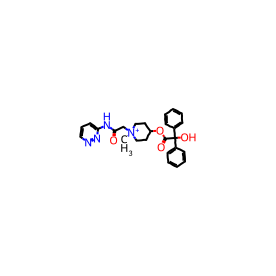 C[N+]1(CC(=O)Nc2cccnn2)CCC(OC(=O)C(O)(c2ccccc2)c2ccccc2)CC1